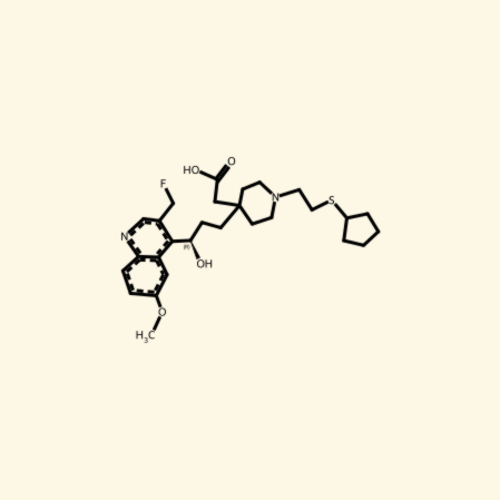 COc1ccc2ncc(CF)c([C@H](O)CCC3(CC(=O)O)CCN(CCSC4CCCC4)CC3)c2c1